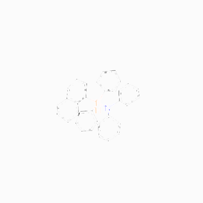 c1ccc(N(c2ccccc2)[PH](c2ccccc2)(c2ccccc2)c2cccc3ccccc23)cc1